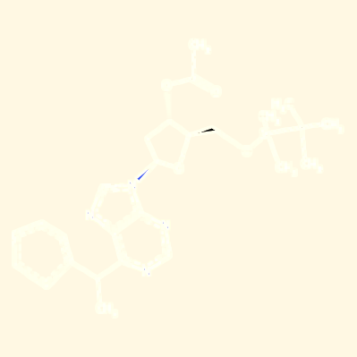 CC(=O)O[C@H]1C[C@H](n2cnc3c(C(C)c4ccccc4)ncnc32)O[C@@H]1CO[Si](C)(C)C(C)(C)C